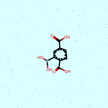 O=C(O)c1ccc(C(=O)O)c(B(O)O)c1